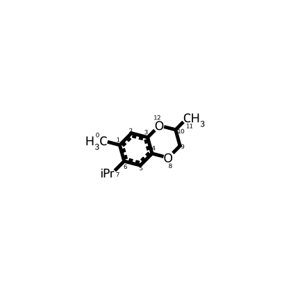 Cc1cc2c(cc1C(C)C)OCC(C)O2